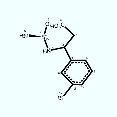 CC(C)(C)[S@@+]([O-])NC(CC(=O)O)c1cccc(Br)c1